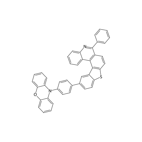 c1ccc(-c2nc3ccccc3c3c2ccc2sc4ccc(-c5ccc(N6c7ccccc7Oc7ccccc76)cc5)cc4c23)cc1